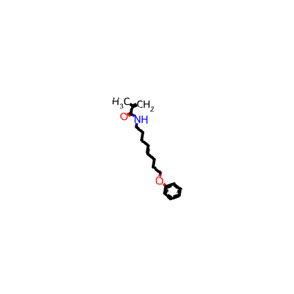 C=C(C)C(=O)NCCCCCCCCOc1ccccc1